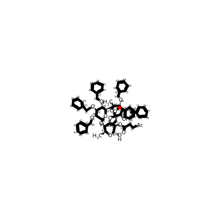 C=CC[C@@]1(O[C@@H]2[C@@H](O[C@H]3O[C@H](COCc4ccccc4)[C@@H](OCc4ccccc4)[C@H](OCc4ccccc4)[C@H]3OCc3ccccc3)[C@H](C)O[C@@H](O)[C@@H]2OC(=O)CCC(C)=O)O[C@@H](C)[C@H](OCc2ccccc2)[C@@H](OCc2ccccc2)[C@H]1O